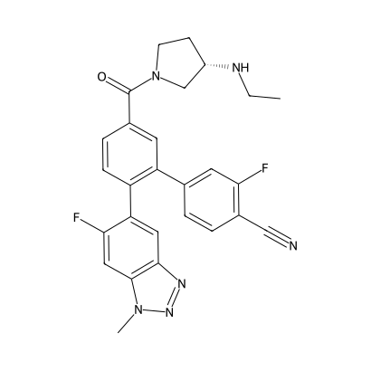 CCN[C@H]1CCN(C(=O)c2ccc(-c3cc4nnn(C)c4cc3F)c(-c3ccc(C#N)c(F)c3)c2)C1